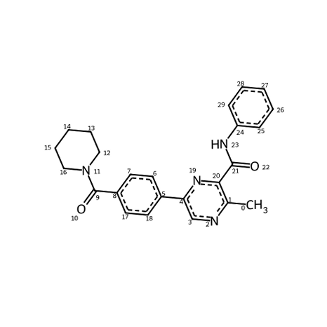 Cc1ncc(-c2ccc(C(=O)N3CCCCC3)cc2)nc1C(=O)Nc1ccccc1